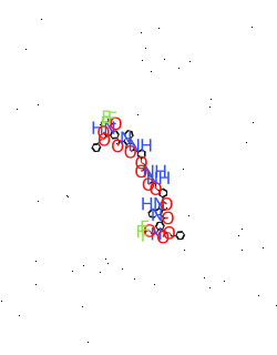 Cc1c(NC(=O)c2cccc(OCC(=O)NCNC(=O)COc3cccc(C(=O)Nc4c(C)c(C(=O)c5ccc(NC(=O)C(F)(F)F)c(C(=O)OCc6ccccc6)c5)n5ccccc45)c3)c2)c2ccccn2c1C(=O)c1ccc(/N=C\OC(F)(F)F)c(C(=O)OCc2ccccc2)c1